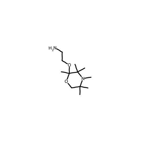 CN1C(C)(C)COC(C)(OCCN)C1(C)C